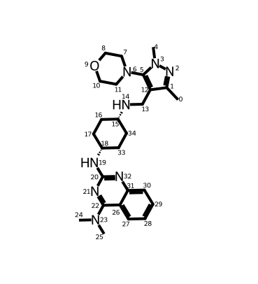 Cc1nn(C)c(N2CCOCC2)c1CN[C@H]1CC[C@@H](Nc2nc(N(C)C)c3ccccc3n2)CC1